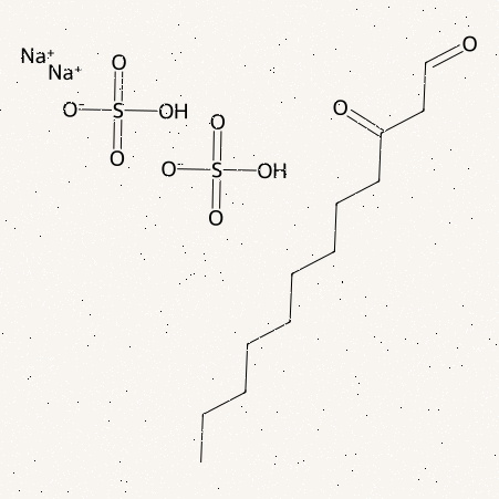 CCCCCCCCCC(=O)CC=O.O=S(=O)([O-])O.O=S(=O)([O-])O.[Na+].[Na+]